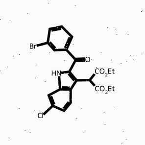 CCOC(=O)C(C(=O)OCC)c1c(C(=O)c2cccc(Br)c2)[nH]c2cc(Cl)ccc12